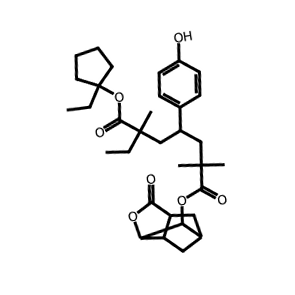 CCC1(OC(=O)C(C)(CC)CC(CC(C)(C)C(=O)OC2C3CC4C(=O)OC2C4C3)c2ccc(O)cc2)CCCC1